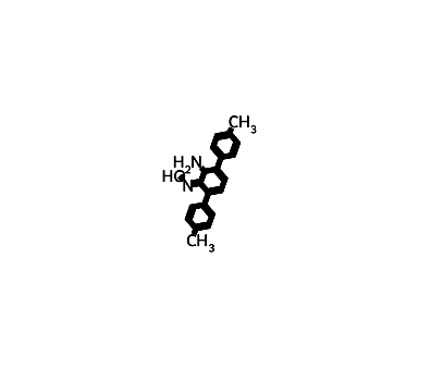 Cc1ccc(C2=CC=C(c3ccc(C)cc3)C(N)/C2=N\O)cc1